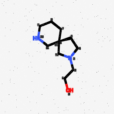 OCCN1CC[C@@]2(CCCNC2)C1